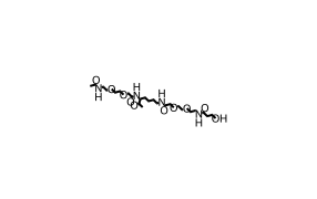 CC(=O)NCCOCCOCC(=O)NC(CCCCNC(=O)COCCOCCNC(=O)CCO)C(C)=O